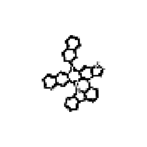 c1ccc2cc(N3c4cc5ccccc5cc4B4c5c3cc3sccc3c5-c3cccc5c6ccccc6n4c35)ccc2c1